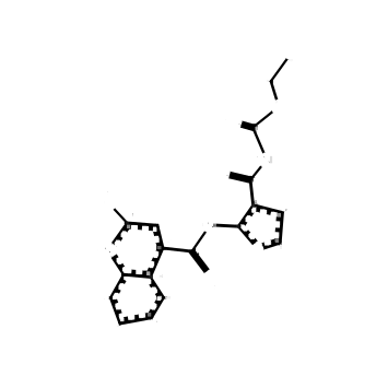 CCOC(=O)NC(=O)c1ccsc1NC(=O)c1cc(O)nc2ccccc12